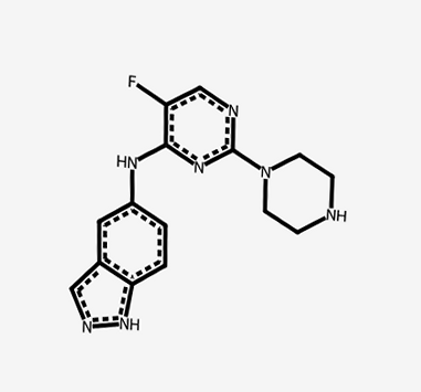 Fc1cnc(N2CCNCC2)nc1Nc1ccc2[nH]ncc2c1